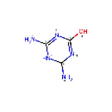 NC1=NC(O)=NC(N)N1